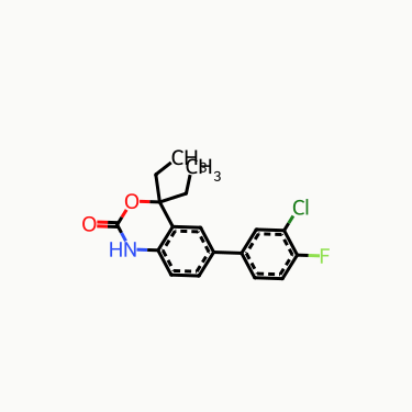 CCC1(CC)OC(=O)Nc2ccc(-c3ccc(F)c(Cl)c3)cc21